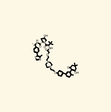 Cc1ccc(-c2ccc(OCCN3CCN(CCOCC(=O)N[C@H](C(=O)N4C[C@H](O)C[C@H]4C(=O)N[C@@H](C)c4ccc(-c5scnc5C)cc4)C(C)(C)C)CC3)cc2)cc1C1=C(O)CC(C)(C)CC1=O